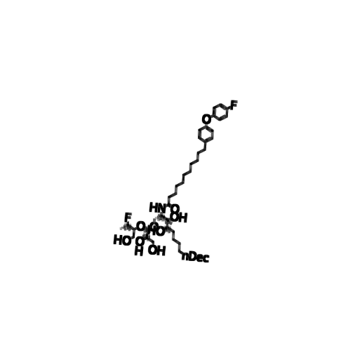 CCCCCCCCCCCCCC[C@@H](O)[C@@H](O)[C@H](CO[C@@H](OC(CO)[C@H](C)F)[C@H](O)CO)NC(=O)CCCCCCCCCCc1ccc(Oc2ccc(F)cc2)cc1